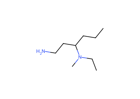 CCCC(CCN)N(C)CC